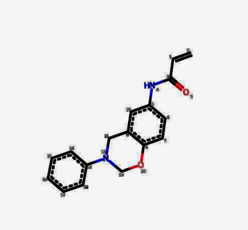 C=CC(=O)Nc1ccc2c(c1)CN(c1ccccc1)CO2